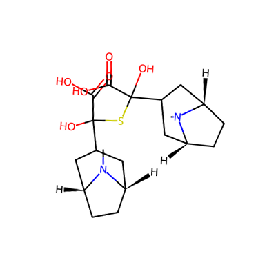 CN1[C@@H]2CC[C@H]1CC(C(O)(SC(O)(C(=O)O)C1C[C@H]3CC[C@@H](C1)N3C)C(=O)O)C2